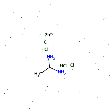 CC(N)N.Cl.Cl.[Cl-].[Cl-].[Zn+2]